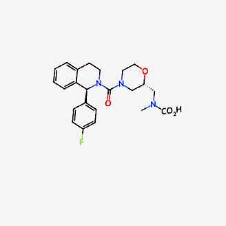 CN(C[C@@H]1CN(C(=O)N2CCc3ccccc3[C@@H]2c2ccc(F)cc2)CCO1)C(=O)O